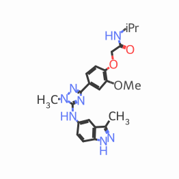 COc1cc(-c2nc(Nc3ccc4[nH]nc(C)c4c3)n(C)n2)ccc1OCC(=O)NC(C)C